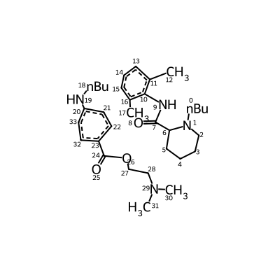 CCCCN1CCCCC1C(=O)Nc1c(C)cccc1C.CCCCNc1ccc(C(=O)OCCN(C)C)cc1